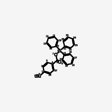 CC(C)(C)c1ccc(C(=O)OS(c2ccccc2)(c2ccccc2)c2ccccc2)cc1